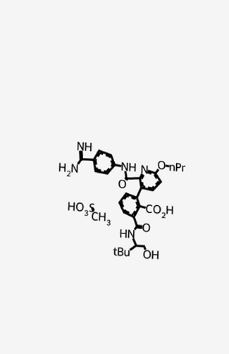 CCCOc1ccc(-c2cccc(C(=O)NC(CO)C(C)(C)C)c2C(=O)O)c(C(=O)Nc2ccc(C(=N)N)cc2)n1.CS(=O)(=O)O